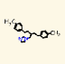 Cc1ccc(CCC(CCc2ccc(C)cc2)Cn2ccnc2)cc1